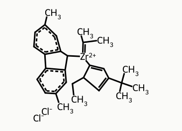 CCC1C=C(C(C)(C)C)C=[C]1[Zr+2](=[C](C)C)[CH]1c2cc(C)ccc2-c2ccc(C)cc21.[Cl-].[Cl-]